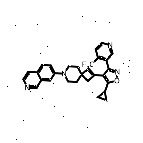 FC(F)(F)c1ccncc1-c1noc(C2CC2)c1C1=CC2(CCN(c3ccc4ccncc4c3)CC2)C1